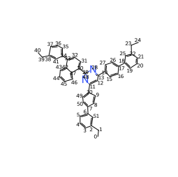 CCc1cccc(-c2ccc(-c3cc(-c4ccc(-c5cccc(CC)c5)cc4)nc(-c4ccc(-c5cccc(CC)c5)c5ccccc45)n3)cc2)c1